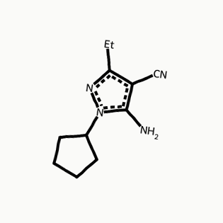 CCc1nn(C2CCCC2)c(N)c1C#N